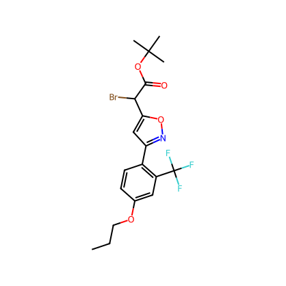 CCCOc1ccc(-c2cc(C(Br)C(=O)OC(C)(C)C)on2)c(C(F)(F)F)c1